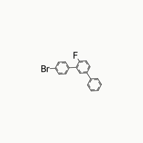 Fc1ccc(-c2ccccc2)cc1-c1ccc(Br)cc1